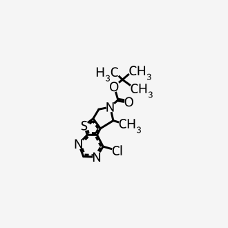 CC1c2c(sc3ncnc(Cl)c23)CN1C(=O)OC(C)(C)C